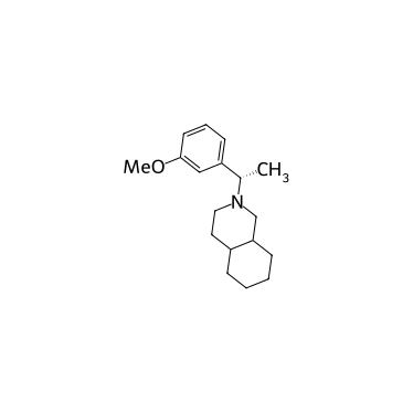 COc1cccc([C@H](C)N2CCC3CCCCC3C2)c1